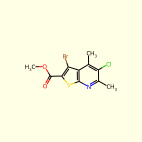 COC(=O)c1sc2nc(C)c(Cl)c(C)c2c1Br